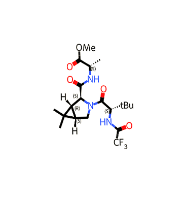 COC(=O)[C@H](C)NC(=O)[C@@H]1[C@@H]2[C@H](CN1C(=O)[C@@H](NC(=O)C(F)(F)F)C(C)(C)C)C2(C)C